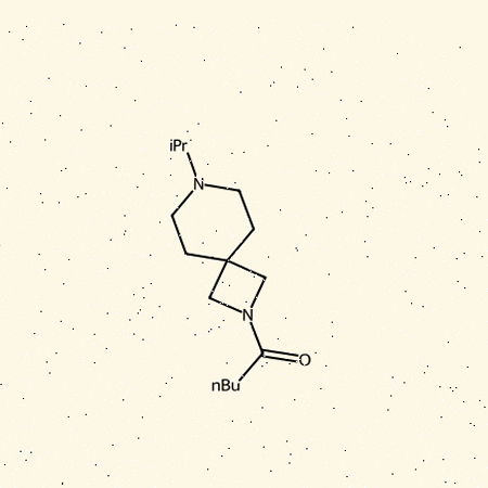 CCCCC(=O)N1CC2(CCN(C(C)C)CC2)C1